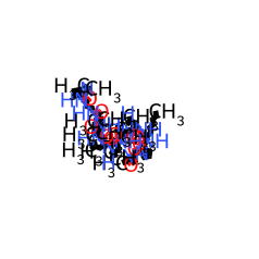 CCCCCCC(NC(=O)[C@@H]1CCCN1C(=O)c1coc(C)n1)C(=O)NC(CC(C)C)C(=O)NC(C)(C)C(=O)NC(CC(C)C)C(=O)NC(CC(C)C)C(=O)NC(C)(C)C(=O)NC(C)(C)C(=O)NCCC(=O)NC1(CN(C)C)CCC1